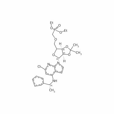 CCOP(=O)(COCC1O[C@@H](n2ccc3c(N[C@H](C)c4ccccc4)cc(Cl)nc32)[C@@H]2OC(C)(C)O[C@H]12)OCC